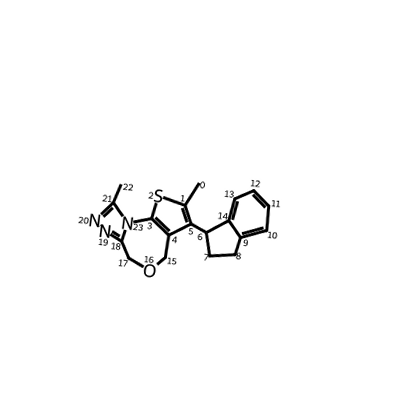 Cc1sc2c(c1C1CCc3ccccc31)COCc1nnc(C)n1-2